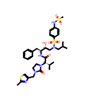 Cc1nc(CN2CCN([C@H](C(=O)N[C@@H](Cc3ccccc3)[C@H](O)CN(CC(C)C)S(=O)(=O)c3ccc(NS(C)(=O)=O)cc3)C(C)C)C2=O)cs1